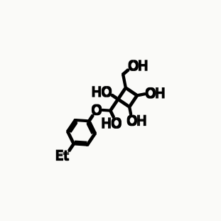 CCc1ccc(OC(O)C2(O)C(O)C(O)C2CO)cc1